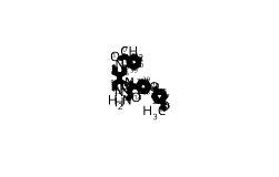 C=C(C(=O)N1CCC(C2CCNn3c2nc(-c2ccc(Oc4ccc(OC)cc4)cc2)c3C(N)=O)CC1)c1ccccc1